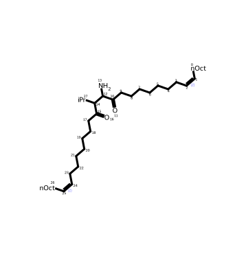 CCCCCCCC/C=C\CCCCCCCC(=O)C(N)C(C(=O)CCCCCCC/C=C\CCCCCCCC)C(C)C